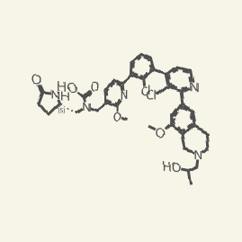 COc1cc(-c2nccc(-c3cccc(-c4ccc(CN(C[C@@H]5CCC(=O)N5)C(=O)O)c(OC)n4)c3Cl)c2Cl)cc2c1CN(CC(C)O)CC2